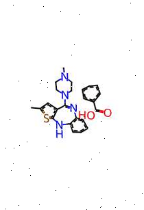 Cc1cc2c(s1)Nc1ccccc1N=C2N1CCN(C)CC1.O=C(O)c1ccccc1